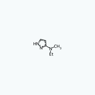 CCN(C)c1cc[nH]n1